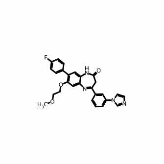 COCCOc1cc2c(cc1-c1ccc(F)cc1)NC(=O)CC(c1cccc(-n3ccnc3)c1)=N2